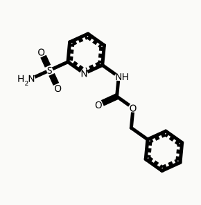 NS(=O)(=O)c1cccc(NC(=O)OCc2ccccc2)n1